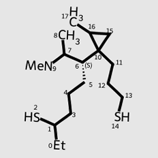 CCC(S)CCC[C@H](C(C)NC)C1(CCCS)CC1C